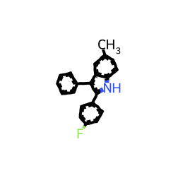 Cc1ccc2[nH]c(-c3ccc(F)cc3)c(-c3ccccc3)c2c1